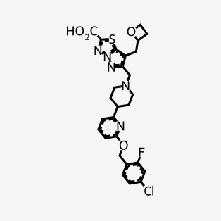 O=C(O)c1nn2nc(CN3CCC(c4cccc(OCc5ccc(Cl)cc5F)n4)CC3)c(CC3CCO3)c2s1